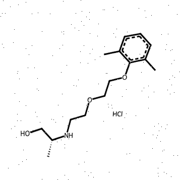 Cc1cccc(C)c1OCCOCCN[C@H](C)CO.Cl